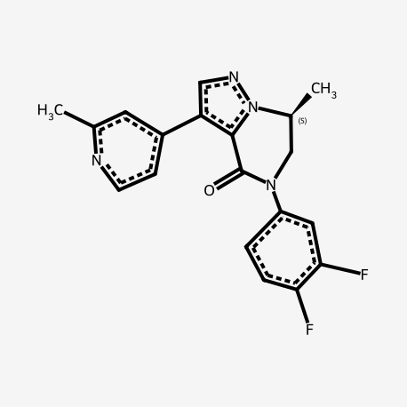 Cc1cc(-c2cnn3c2C(=O)N(c2ccc(F)c(F)c2)C[C@@H]3C)ccn1